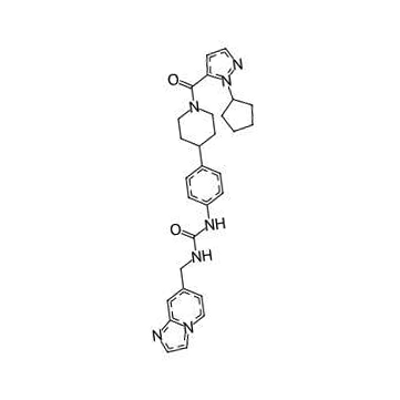 O=C(NCc1ccn2ccnc2c1)Nc1ccc(C2CCN(C(=O)c3ccnn3C3CCCC3)CC2)cc1